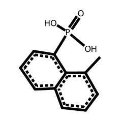 Cc1cccc2cccc(P(=O)(O)O)c12